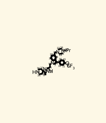 C=C(NCCCn1cc(-c2ccc(OC(F)(F)F)cc2)c2cc(CN3CCN(C(C)C)CC3)ccc21)C1(N)CCNCC1